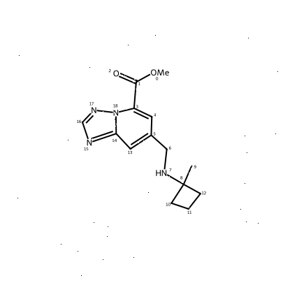 COC(=O)c1cc(CNC2(C)CCC2)cc2ncnn12